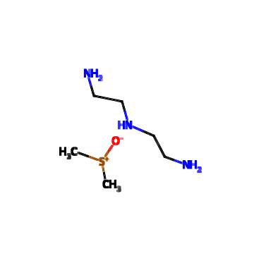 C[S+](C)[O-].NCCNCCN